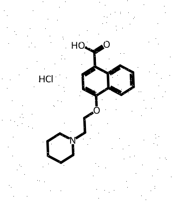 Cl.O=C(O)c1ccc(OCCN2CCCCC2)c2ccccc12